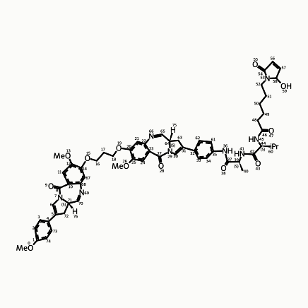 COc1ccc(C2=CN3C(=O)c4cc(OC)c(OCCCOc5cc6c(cc5OC)C(=O)N5C=C(c7ccc(NC(=O)[C@H](C)NC(=O)[C@@H](NC(=O)CCCCCN8C(=O)C=CC8O)C(C)C)cc7)C[C@H]5C=N6)cc4N=C[C@@H]3C2)cc1